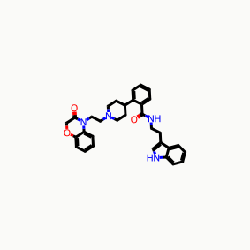 O=C(NCCc1c[nH]c2ccccc12)c1ccccc1C1CCN(CCN2C(=O)COc3ccccc32)CC1